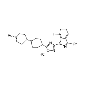 CC(=O)N1CCC(N2CCC(c3nc(-n4nc(C(C)C)c5cccc(F)c54)no3)CC2)CC1.Cl